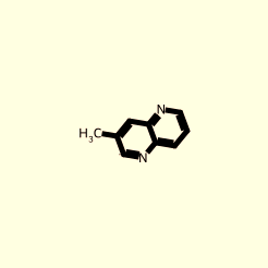 Cc1[c]nc2cccnc2c1